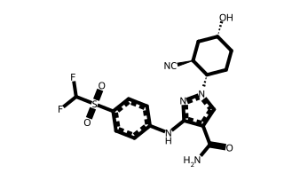 N#C[C@H]1C[C@H](O)CC[C@@H]1n1cc(C(N)=O)c(Nc2ccc(S(=O)(=O)C(F)F)cc2)n1